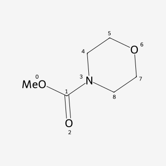 [CH2]OC(=O)N1CCOCC1